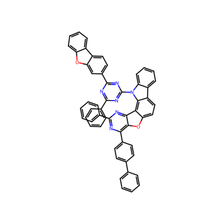 c1ccc(-c2ccc(-c3nc(-c4ccccc4)nc4c3oc3ccc5c6ccccc6n(-c6nc(-c7ccccc7)nc(-c7ccc8c(c7)oc7ccccc78)n6)c5c34)cc2)cc1